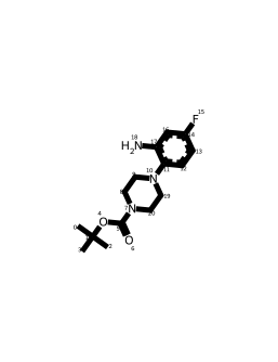 CC(C)(C)OC(=O)N1CCN(c2ccc(F)cc2N)CC1